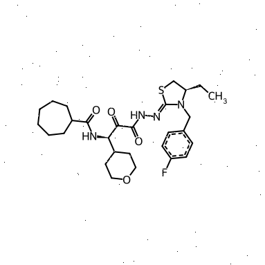 CC[C@@H]1CS/C(=N\NC(=O)C(=O)[C@H](NC(=O)C2CCCCCC2)C2CCOCC2)N1Cc1ccc(F)cc1